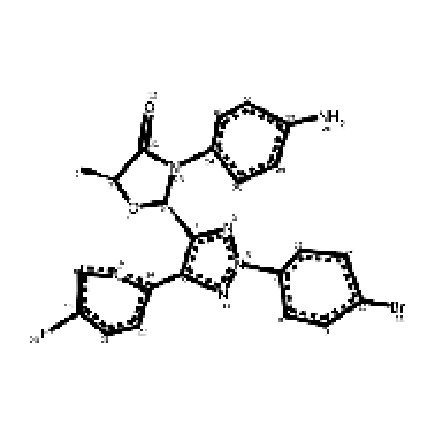 C[C@@H]1O[C@H](c2nn(-c3ccc(Br)cc3)nc2-c2ccc(F)cc2)N(c2ccc(N)cc2)C1=O